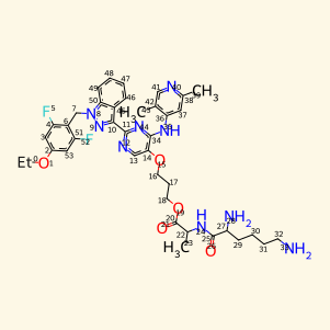 CCOc1cc(F)c(Cn2nc(-c3ncc(OCCCOC(=O)C(C)NC(=O)C(N)CCCCN)c(Nc4cc(C)ncc4C)n3)c3ccccc32)c(F)c1